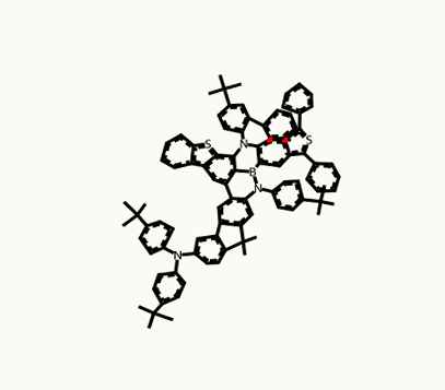 CC(C)(C)c1ccc(N2B3c4cc5c(-c6ccccc6)sc(-c6ccccc6)c5cc4N(c4ccc(C(C)(C)C)cc4-c4ccccc4)c4c3c(cc3c4sc4ccccc43)-c3cc4c(cc32)C(C)(C)c2ccc(N(c3ccc(C(C)(C)C)cc3)c3ccc(C(C)(C)C)cc3)cc2-4)cc1